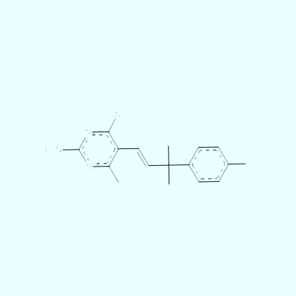 Cc1nc(N)nc(N)c1C=CC(C)(C)c1ccc(F)cc1